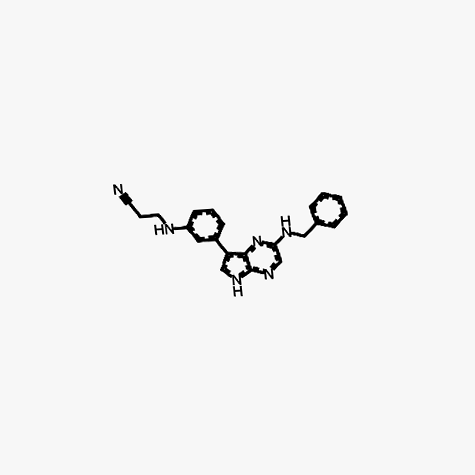 N#CCCNc1cccc(-c2c[nH]c3ncc(NCc4ccccc4)nc23)c1